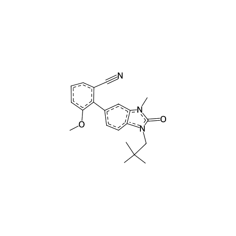 COc1cccc(C#N)c1-c1ccc2c(c1)n(C)c(=O)n2CC(C)(C)C